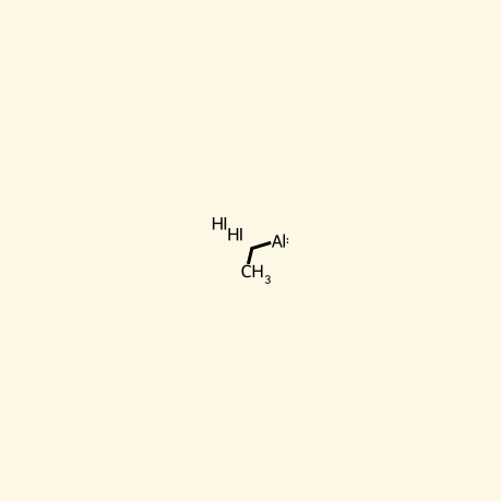 C[CH2][Al].I.I